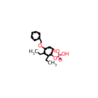 CCc1c(OCc2ccccc2)ccc(OP(=O)(O)O)c1CC